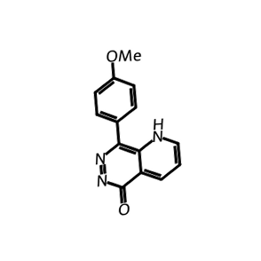 COc1ccc(-c2nnc(=O)c3ccc[nH]c2-3)cc1